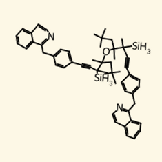 CC(C)(C)CC(C)(OC(C)(CC(C)(C)C)C(C)([SiH3])C#Cc1ccc(Cc2nccc3ccccc23)cc1)C(C)([SiH3])C#Cc1ccc(Cc2nccc3ccccc23)cc1